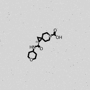 O=C(NC1CCOCC1)[C@H]1CC12CCN(C(=O)O)CC2